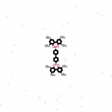 CC(C)(C)c1cc(C(C)(C)C)c2op(-c3ccc(-c4ccc(-p5oc6c(C(C)(C)C)cc(C(C)(C)C)cc6c6cc(C(C)(C)C)cc(C(C)(C)C)c6o5)cc4)cc3)oc3c(C(C)(C)C)cc(C(C)(C)C)cc3c2c1